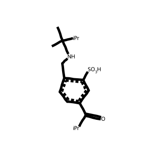 CC(C)C(=O)c1ccc(CNC(C)(C)C(C)C)c(S(=O)(=O)O)c1